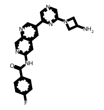 NC1CN(c2cncc(-c3cnc4cnc(NC(=O)c5ccc(F)cc5)cc4c3)n2)C1